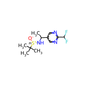 CC(N[S@@+]([O-])C(C)(C)C)c1cnc(C(F)F)nc1